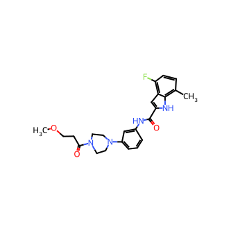 COCCC(=O)N1CCN(c2cccc(NC(=O)c3cc4c(F)ccc(C)c4[nH]3)c2)CC1